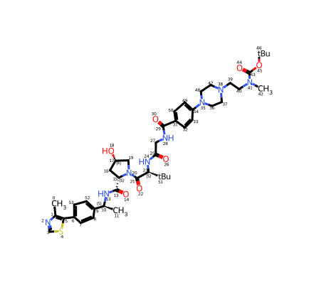 Cc1ncsc1-c1ccc([C@H](C)NC(=O)[C@@H]2C[C@@H](O)CN2C(=O)[C@@H](NC(=O)CNC(=O)c2ccc(N3CCN(CCN(C)C(=O)OC(C)(C)C)CC3)cc2)C(C)(C)C)cc1